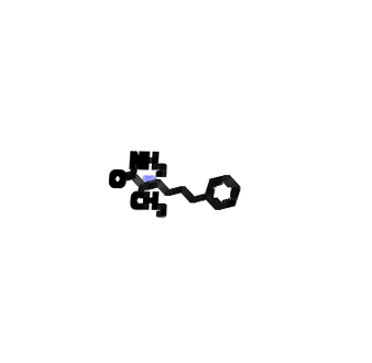 C/C(=C\CCCc1ccccc1)C(N)=O